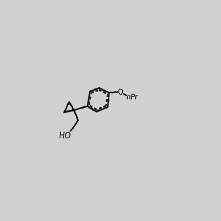 CCCOc1ccc(C2(CO)CC2)cc1